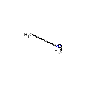 CCCCCCCCCCCCCCCCCCC[n+]1cccc(CC)c1